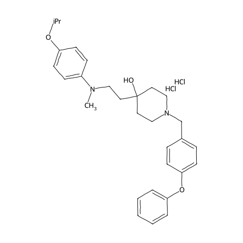 CC(C)Oc1ccc(N(C)CCC2(O)CCN(Cc3ccc(Oc4ccccc4)cc3)CC2)cc1.Cl.Cl